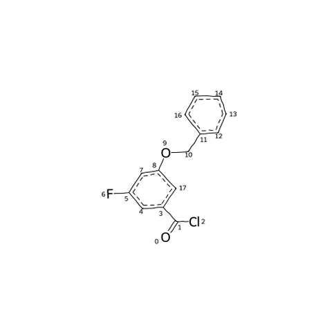 O=C(Cl)c1cc(F)cc(OCc2ccccc2)c1